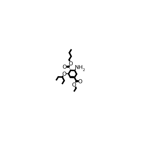 CCCCOC(=O)[C@@H]1[C@@H](N)CC(C(=O)OCC)=C[C@H]1OC(CC)CC